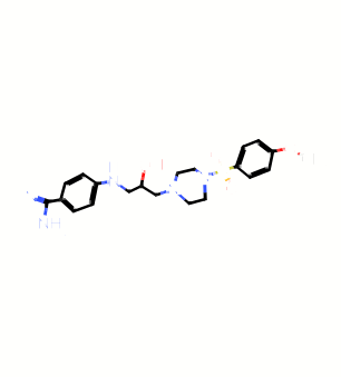 N=C(N)c1ccc(NCC(O)CN2CCN(S(=O)(=O)c3ccc(OC(F)(F)F)cc3)CC2)cc1